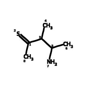 CC(=S)C(C)C(C)N